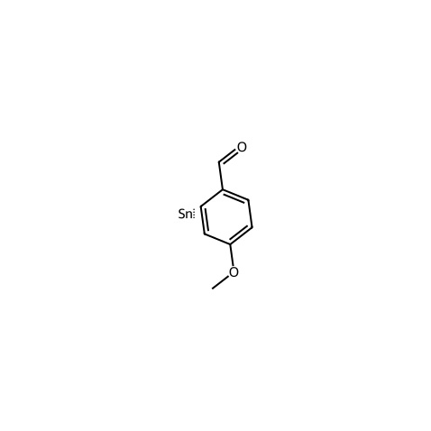 COc1ccc(C=O)cc1.[Sn]